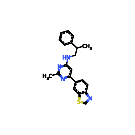 Cc1nc(NCC(C)c2ccccc2)cc(-c2ccc3ncsc3c2)n1